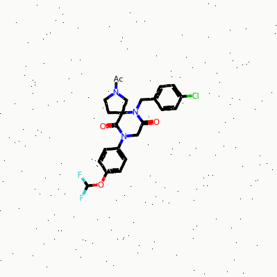 CC(=O)N1CCC2(C1)C(=O)N(c1ccc(OC(F)F)cc1)CC(=O)N2Cc1ccc(Cl)cc1